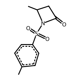 Cc1ccc(S(=O)(=O)N2C(=O)CC2C)cc1